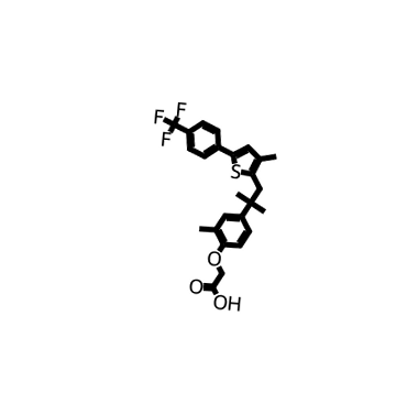 Cc1cc(C(C)(C)Cc2sc(-c3ccc(C(F)(F)F)cc3)cc2C)ccc1OCC(=O)O